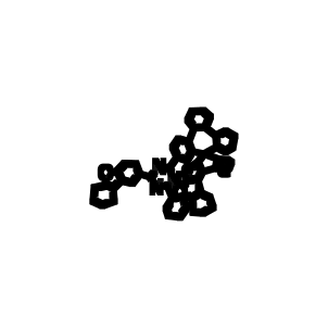 c1ccc(-c2nc(-c3ccc4c(c3)C3(c5ccccc5-c5ccccc5-4)c4ccccc4-c4c3ccc3oc5ccccc5c43)nc(-c3ccc4oc5ccccc5c4c3)n2)cc1